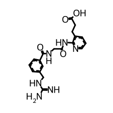 N=C(N)NCc1cccc(C(=O)NCC(=O)Nc2ncccc2CCC(=O)O)c1